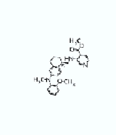 COC(=O)c1ccncc1NC[C@@H]1CCCc2cc(N(C)c3ccccc3OC)ccc21